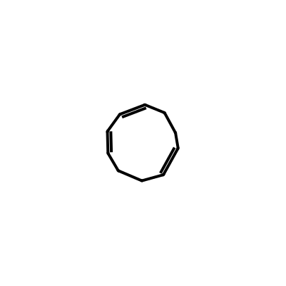 C1=CCCC=CCCC=C1